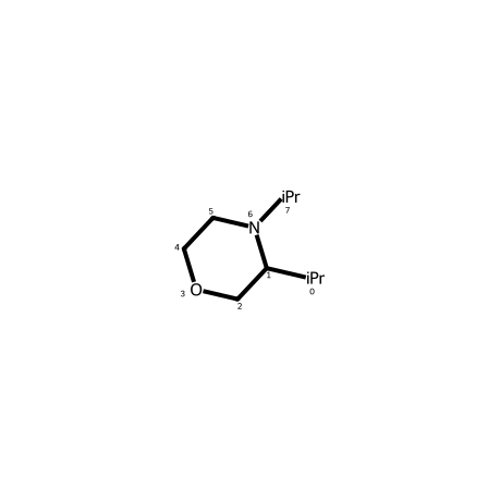 CC(C)C1COCCN1C(C)C